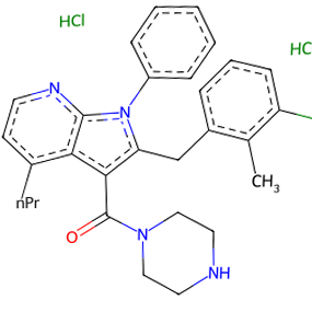 CCCc1ccnc2c1c(C(=O)N1CCNCC1)c(Cc1cccc(F)c1C)n2-c1ccccc1.Cl.Cl